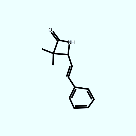 CC1(C)C(=O)NC1C=Cc1ccccc1